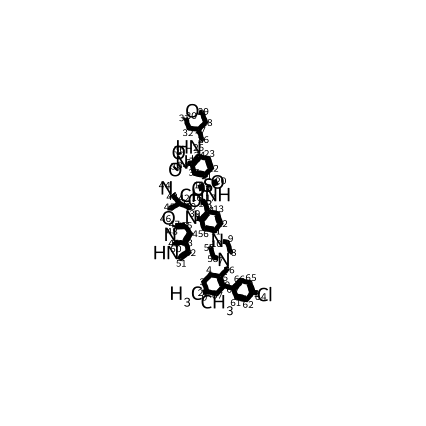 CC1(C)CCC(CN2CCN(c3ccc(C(=O)NS(=O)(=O)c4ccc(NCC5CCOCC5)c([N+](=O)[O-])c4)c(N4C[C@](C)(C#N)COc5nc6[nH]ccc6cc54)c3)CC2)=C(c2ccc(Cl)cc2)C1